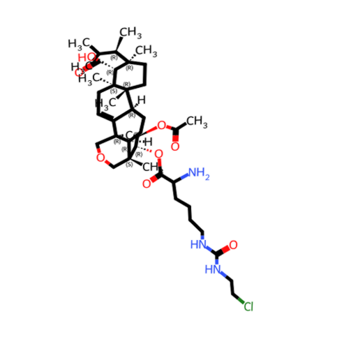 CC(=O)O[C@@H]1C[C@@]23COC[C@](C)([C@@H]2CC[C@H]2C3=CC[C@@]3(C)[C@H](C(=O)O)[C@@](C)([C@H](C)C(C)C)CC[C@]23C)[C@H]1OC(=O)C(N)CCCCNC(=O)NCCCl